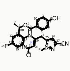 C[C@@H](OCc1ccc(O)cc1)c1cc(F)ccc1N/C(=C\C(=N)Cl)Cc1cc(C#N)nn1C